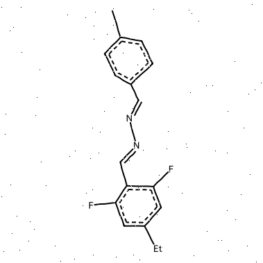 CCc1cc(F)c(C=NN=Cc2ccc(C)cc2)c(F)c1